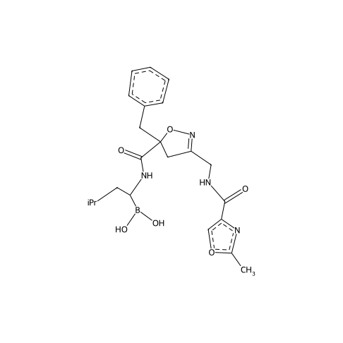 Cc1nc(C(=O)NCC2=NOC(Cc3ccccc3)(C(=O)NC(CC(C)C)B(O)O)C2)co1